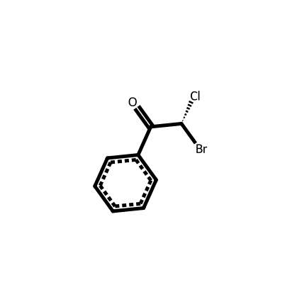 O=C(c1ccccc1)[C@H](Cl)Br